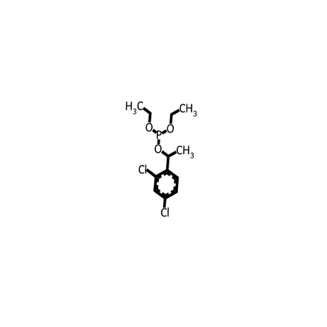 CCOP(OCC)OC(C)c1ccc(Cl)cc1Cl